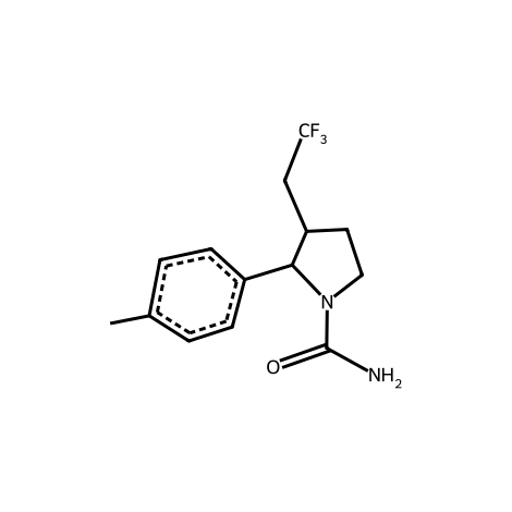 Cc1ccc(C2C(CC(F)(F)F)CCN2C(N)=O)cc1